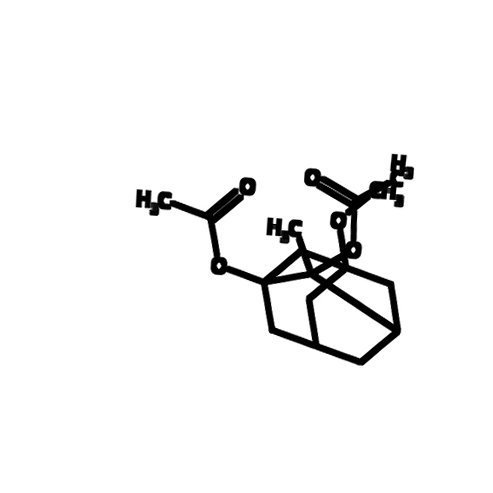 COC12CC3CC(C1)C(C)(OC(C)=O)C(OC(C)=O)(C3)C2